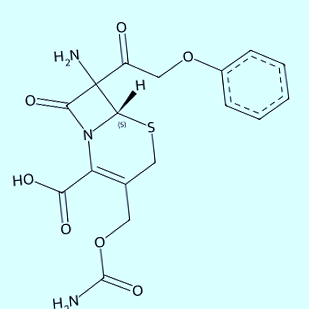 NC(=O)OCC1=C(C(=O)O)N2C(=O)C(N)(C(=O)COc3ccccc3)[C@@H]2SC1